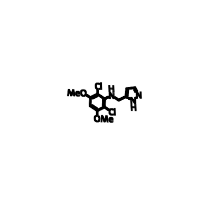 COc1cc(OC)c(Cl)c(NCc2ccn[nH]2)c1Cl